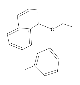 CCOc1cccc2ccccc12.Cc1ccccc1